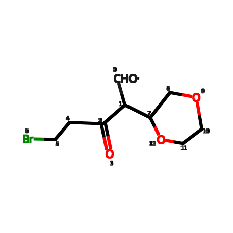 O=[C]C(C(=O)CCBr)C1COCCO1